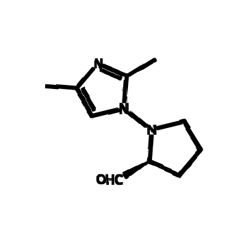 Cc1cn(N2CCC[C@H]2C=O)c(C)n1